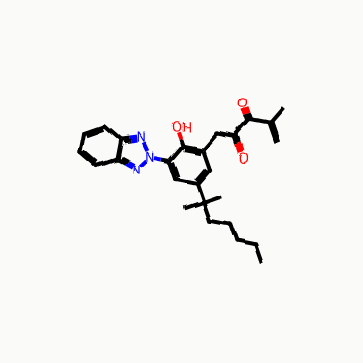 C=C(C)C(=O)C(=O)Cc1cc(C(C)(C)CCCCC)cc(-n2nc3ccccc3n2)c1O